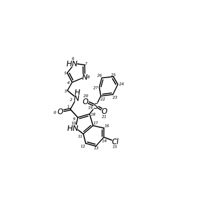 O=C(NCc1c[nH]cn1)c1[nH]c2ccc(Cl)cc2c1S(=O)(=O)c1ccccc1